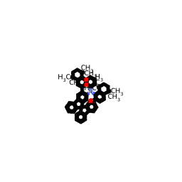 Cc1ccc2c(c1N(c1ccccc1)c1cc3c(cc1-c1ccc4c(c1)C(C)(C)CCC4(C)C)-c1ccccc1C31c3ccccc3-c3ccccc31)C(C)(C)CCC2(C)C